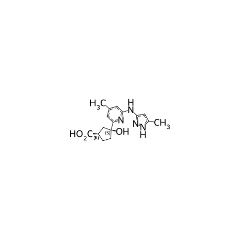 Cc1cc(Nc2cc(C)[nH]n2)nc([C@]2(O)CC[C@@H](C(=O)O)C2)c1